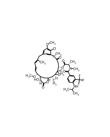 COc1cc2cc(c1Cl)N(C)C(=O)C[C@H](OC(=O)[C@H](C)N(C)C(=O)c1ccc(NC(C)C)c(C(F)(F)F)c1)[C@]1(C)O[C@H]1[C@H](C)[C@@H]1C[C@@](O)(NC(=O)O1)[C@H](OC)/C=C/C=C(\C)C2